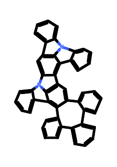 c1ccc2c(c1)-c1ccccc1-c1cc3c4c5c6ccccc6n6c7ccccc7c(cc4n4c7ccccc7c(c1-c1ccccc1-2)c34)c56